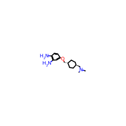 CN(C)C[C@H]1CC[C@H](COc2ccc(N)c(N)c2)CC1